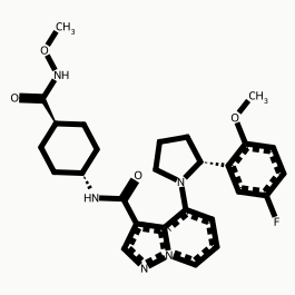 CONC(=O)[C@H]1CC[C@H](NC(=O)c2cnn3cccc(N4CCC[C@@H]4c4cc(F)ccc4OC)c23)CC1